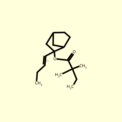 CC/C=C/C1(OC(=O)C(C)(C)CC)CC2CCC1C2